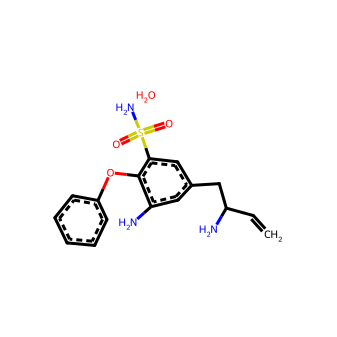 C=CC(N)Cc1cc(N)c(Oc2ccccc2)c(S(N)(=O)=O)c1.O